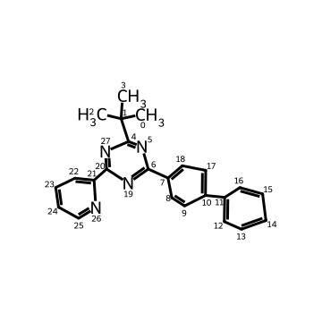 CC(C)(C)c1nc(-c2ccc(-c3ccccc3)cc2)nc(-c2ccccn2)n1